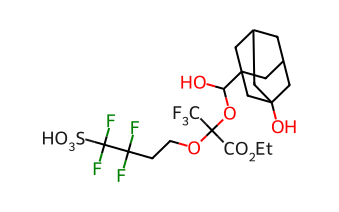 CCOC(=O)C(OCCC(F)(F)C(F)(F)S(=O)(=O)O)(OC(O)C12CC3CC(CC(O)(C3)C1)C2)C(F)(F)F